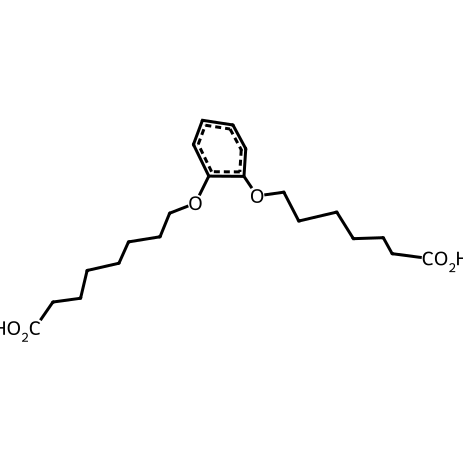 O=C(O)CCCCCCCOc1ccccc1OCCCCCCC(=O)O